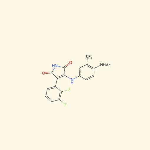 CC(=O)Nc1ccc(NC2=C(c3cccc(F)c3F)C(=O)NC2=O)cc1C(F)(F)F